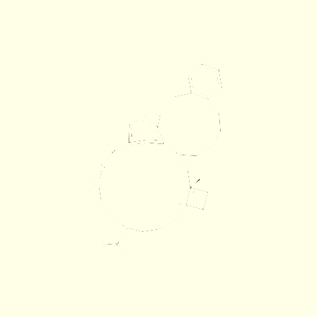 CC(=O)N1CC[C@@H](O)[C@@H]2CC[C@H]2CN2CCCCc3cc(Cl)ccc3COc3ccc(cc32)C(=O)NS(=O)(=O)CC1